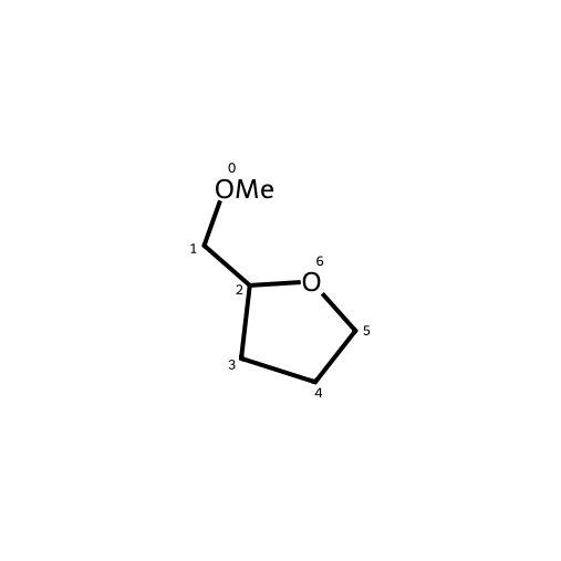 [CH2]OCC1CCCO1